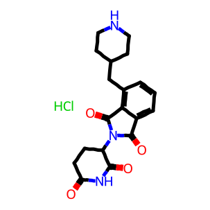 Cl.O=C1CCC(N2C(=O)c3cccc(CC4CCNCC4)c3C2=O)C(=O)N1